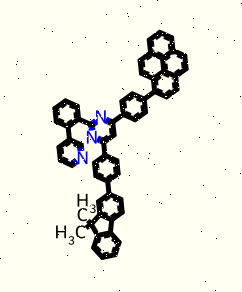 CC1(C)c2ccccc2-c2ccc(-c3ccc(-c4cc(-c5ccc(-c6ccc7ccc8cccc9ccc6c7c89)cc5)nc(-c5ccccc5-c5cccnc5)n4)cc3)cc21